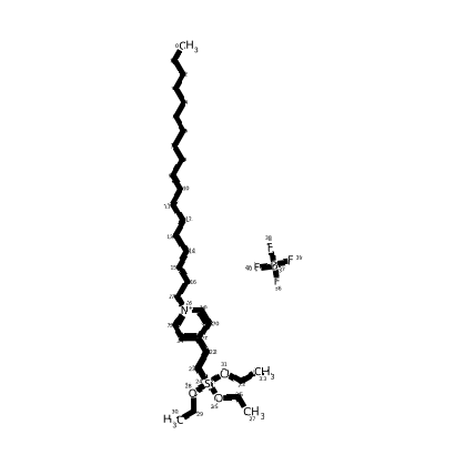 CCCCCCCCCCCCCCCCCC[n+]1ccc(CC[Si](OCC)(OCC)OCC)cc1.F[B-](F)(F)F